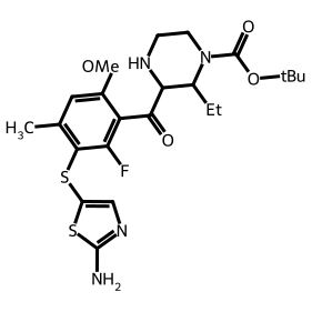 CCC1C(C(=O)c2c(OC)cc(C)c(Sc3cnc(N)s3)c2F)NCCN1C(=O)OC(C)(C)C